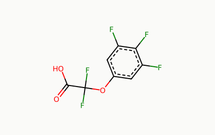 O=C(O)C(F)(F)Oc1cc(F)c(F)c(F)c1